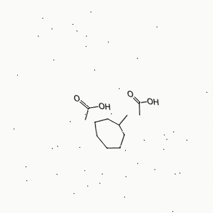 CC(=O)O.CC(=O)O.CC1CCCCCC1